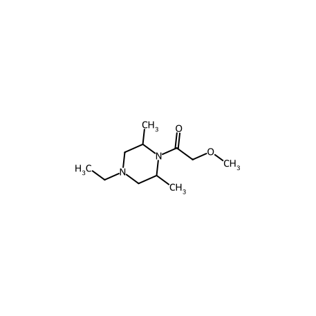 CCN1CC(C)N(C(=O)COC)C(C)C1